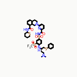 CN(C)CC[C@H](CSc1ccccc1)Nc1ccc(S(=O)(=O)NC(=O)c2cccc(N3CCc4cccc(C(=O)NC5CCCCS5)c4C3)n2)cc1S(=O)(=O)C(F)(F)F